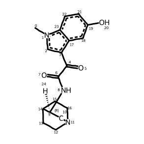 Cn1cc(C(=O)C(=O)N[C@H]2CN3CCC2CC3)c2cc(O)ccc21